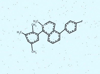 Cc1cc(C)c(C)c(-c2c3cccc(-c4ccc(F)cc4)c3cc[n+]2C)c1